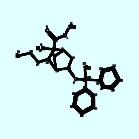 CC(C)(C)OC(=O)C1(N)C2CC(O[Si](c3ccccc3)(c3ccccc3)C(C)(C)C)C(C2)C1CCBr